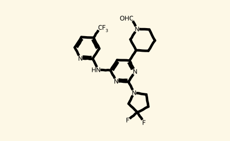 O=CN1CCCC(c2cc(Nc3cc(C(F)(F)F)ccn3)nc(N3CCC(F)(F)C3)n2)C1